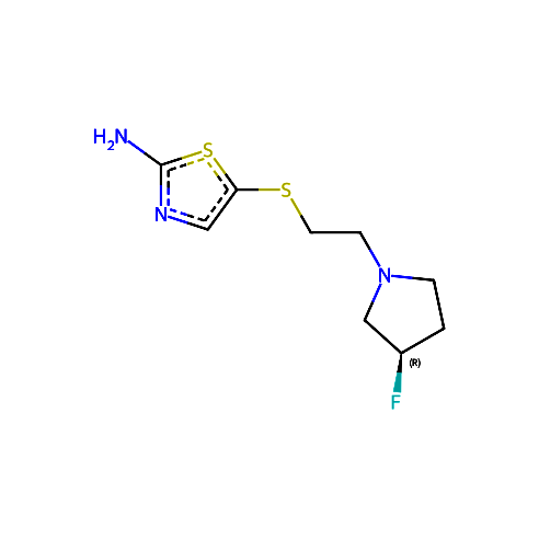 Nc1ncc(SCCN2CC[C@@H](F)C2)s1